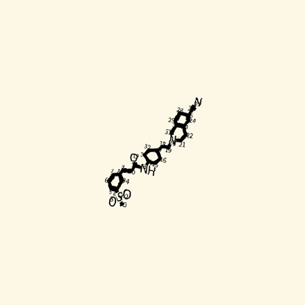 CS(=O)(=O)c1cccc(C=CC(=O)NC2CCC(CCN3CCc4cc(C#N)ccc4C3)CC2)c1